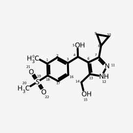 Cc1cc(C(O)c2c(C3CC3)n[nH]c2CO)ccc1S(C)(=O)=O